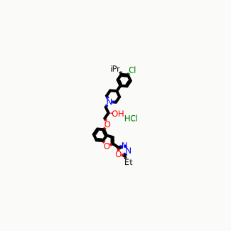 CCc1nnc(-c2cc3c(OC[C@@H](O)CN4CCC(c5ccc(Cl)c(C(C)C)c5)CC4)cccc3o2)o1.Cl